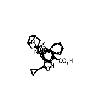 O=C(O)c1ccc2nc(N3C4CC(NCc5c(-c6ccccc6C(F)(F)F)noc5C5CC5)CC3C4)sc2c1